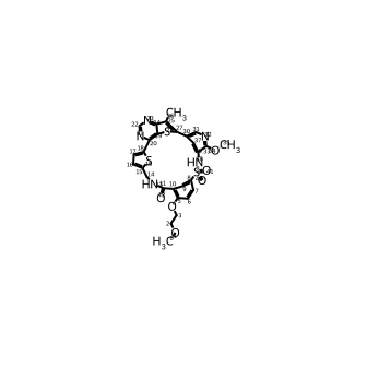 COCCOc1ccc2cc1C(=O)NCc1ccc(s1)-c1ncnc3c(C)c(sc13)-c1cnc(OC)c(c1)NS2(=O)=O